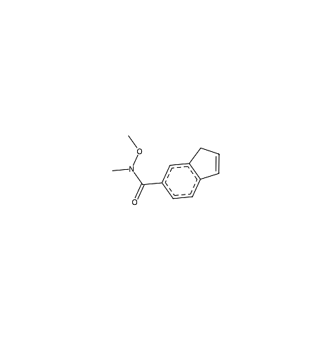 CON(C)C(=O)c1ccc2c(c1)CC=C2